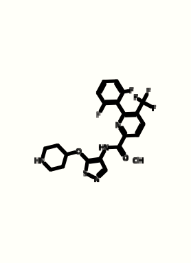 Cl.O=C(Nc1cnsc1OC1CCNCC1)c1ccc(C(F)(F)F)c(-c2c(F)cccc2F)n1